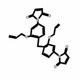 C=CCOc1cc(N2C(=O)C=CC2=O)ccc1Cc1ccc(N2C(=O)C=CC2=O)cc1OCC=C